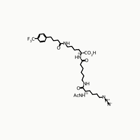 CC(=O)N[C@@H](CCCCN=[N+]=[N-])C(=O)NCCCCCC(=O)N[C@@H](CCCCNC(=O)CCCc1ccc(C(F)(F)F)cc1)C(=O)O